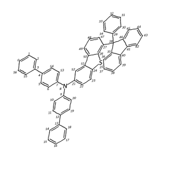 c1ccc(-c2ccc(N(c3ccc(-c4ccccc4)cc3)c3ccc4sc5c(C6(c7ccccc7)c7ccccc7-c7ccccc76)cccc5c4c3)cc2)cc1